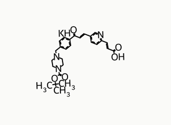 CC(C)(C)OC(=O)N1CCN(Cc2ccc(C(=O)C=Cc3ccc(C=CC(=O)O)nc3)cc2)CC1.[KH]